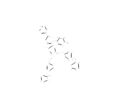 O=C(O)C(=Cc1sc2cc(OCc3ccc(Oc4ccccc4)cc3)c(OCc3ccc(Oc4ccccc4)cc3)cc2c1Oc1ccc(Cl)cc1)c1ccncc1